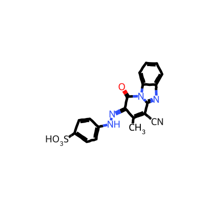 CC1=C(C#N)c2nc3ccccc3n2C(=O)/C1=N/Nc1ccc(S(=O)(=O)O)cc1